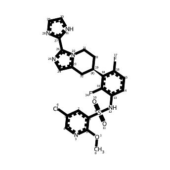 COc1ncc(Cl)cc1S(=O)(=O)Nc1ccc(F)c([C@@H]2CCn3c(cnc3-c3ncc[nH]3)C2)c1F